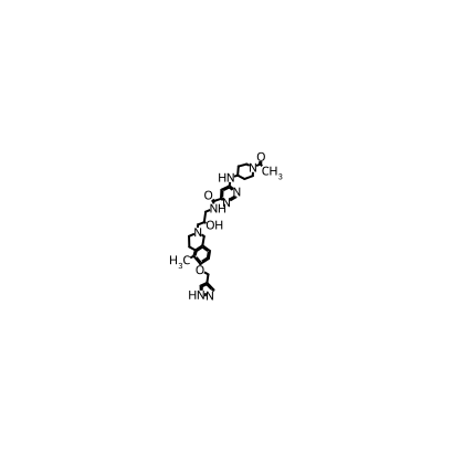 CC(=O)N1CCC(Nc2cc(C(=O)NCC(O)CN3CCc4c(ccc(OCc5cn[nH]c5)c4C)C3)ncn2)CC1